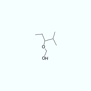 CCC(OCO)C(C)C